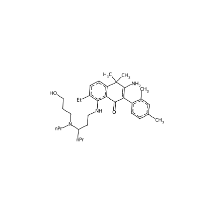 CCCC(CCNc1c(CC)ccc2c1C(=O)C(c1ccc(C)cc1C)=C(N)C2(C)C)N(CCC)CCCO